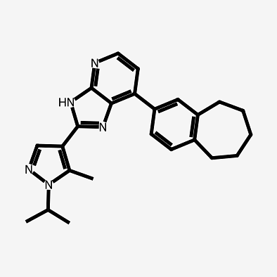 Cc1c(-c2nc3c(-c4ccc5c(c4)CCCCC5)ccnc3[nH]2)cnn1C(C)C